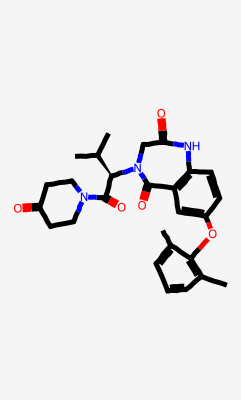 Cc1cccc(C)c1Oc1ccc2c(c1)C(=O)N([C@@H](C(=O)N1CCC(=O)CC1)C(C)C)CC(=O)N2